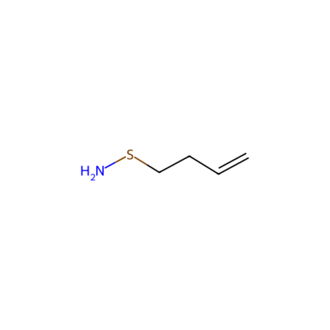 C=CCCSN